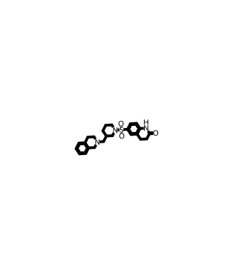 O=C1CCc2cc(S(=O)(=O)N3CCCC(CN4CCc5ccccc5C4)C3)ccc2N1